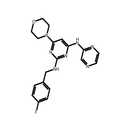 Fc1ccc(CNc2nc(Nc3cnccn3)cc(N3CCOCC3)n2)cc1